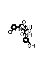 O=C(Nc1cccc(CO)c1)c1c(=O)[nH]n2c(=O)cc(-c3cccc(Cl)c3)[nH]c12